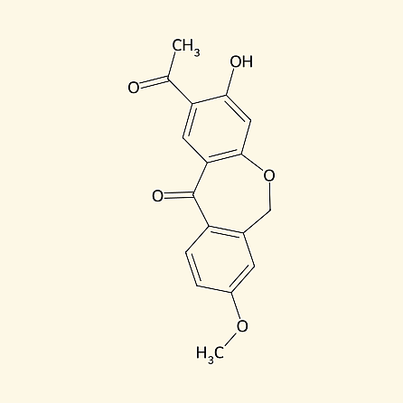 COc1ccc2c(c1)COc1cc(O)c(C(C)=O)cc1C2=O